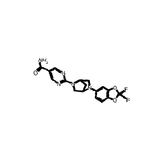 NC(=O)c1cnc(N2CC3CC2CN3c2ccc3c(c2)OC(F)(F)O3)nc1